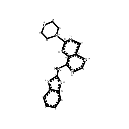 c1ccc2sc(Nc3ncnc4cnc(N5CCOCC5)nc34)nc2c1